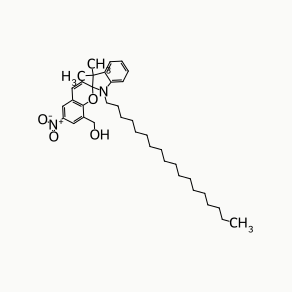 CCCCCCCCCCCCCCCCCCN1c2ccccc2C(C)(C)C12C=Cc1cc([N+](=O)[O-])cc(CO)c1O2